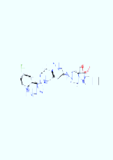 CN1CCN(c2cnc3c(c2)CN(c2ncnc4ccc(F)cc24)CC3)CC12COC2